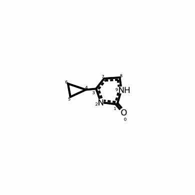 O=c1nc(C2CC2)cc[nH]1